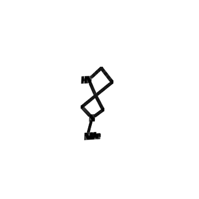 CNN1CC2(CCN2)C1